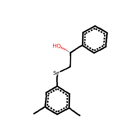 Cc1cc(C)cc([Se]C[C@H](O)c2ccccc2)c1